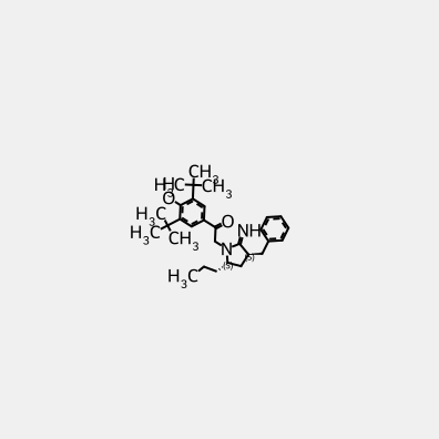 CCC[C@H]1C[C@H](Cc2ccccc2)C(=N)N1CC(=O)c1cc(C(C)(C)C)c(O)c(C(C)(C)C)c1